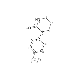 CCOC(=O)c1ccc(N2CCCNC2=O)cc1